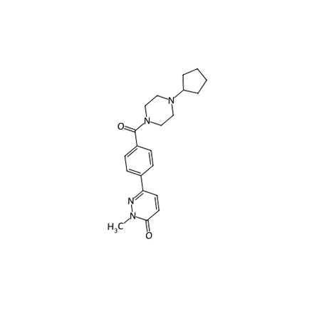 Cn1nc(-c2ccc(C(=O)N3CCN(C4CCCC4)CC3)cc2)ccc1=O